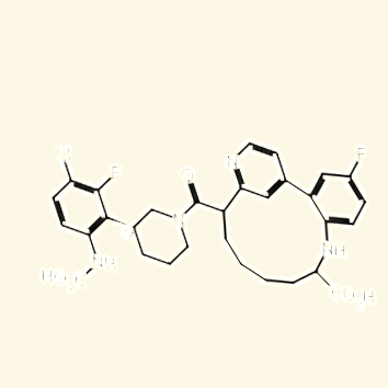 O=C(O)Nc1ccc(Cl)c(F)c1[C@@H]1CCCN(C(=O)C2CCCCC(C(=O)O)Nc3ccc(F)cc3-c3ccnc2c3)C1